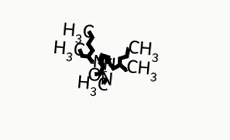 CCCCC(CC)Cn1cc[n+](CC(CC)CCCC)c1/C([O-])=N/C